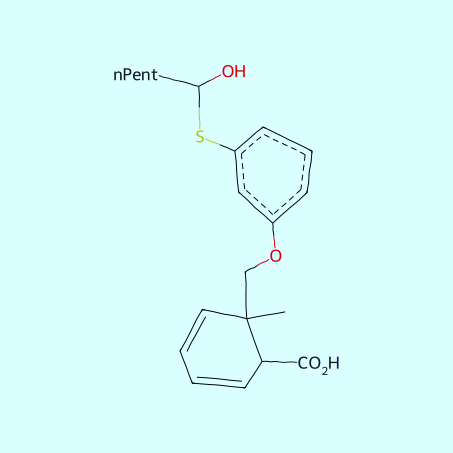 CCCCCC(O)Sc1cccc(OCC2(C)C=CC=CC2C(=O)O)c1